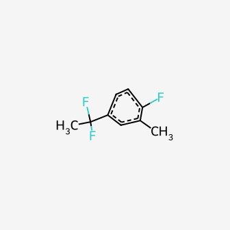 Cc1cc(C(C)(F)F)ccc1F